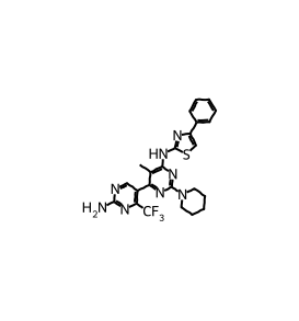 Cc1c(Nc2nc(-c3ccccc3)cs2)nc(N2CCCCC2)nc1-c1cnc(N)nc1C(F)(F)F